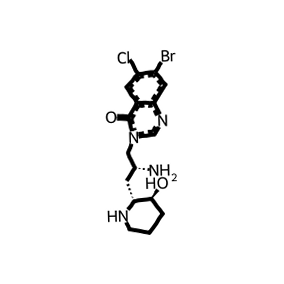 N[C@H](C[C@H]1NCCC[C@@H]1O)Cn1cnc2cc(Br)c(Cl)cc2c1=O